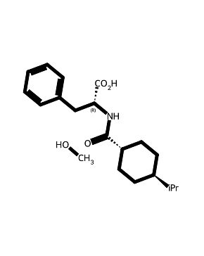 CC(C)[C@H]1CC[C@H](C(=O)N[C@H](Cc2ccccc2)C(=O)O)CC1.CO